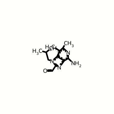 Cc1nc(N)c2nc(C=O)n(CC(C)C)c2c1C